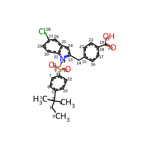 CCC(C)(C)c1ccc(S(=O)(=O)n2c(Cc3ccc(C(=O)O)cc3)cc3cc(Cl)ccc32)cc1